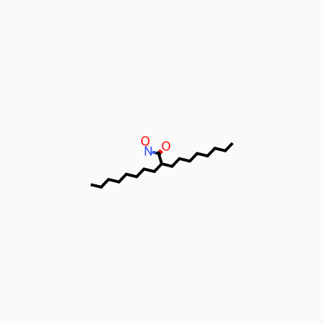 CCCCCCCCC(CCCCCCCC)C(=O)N=O